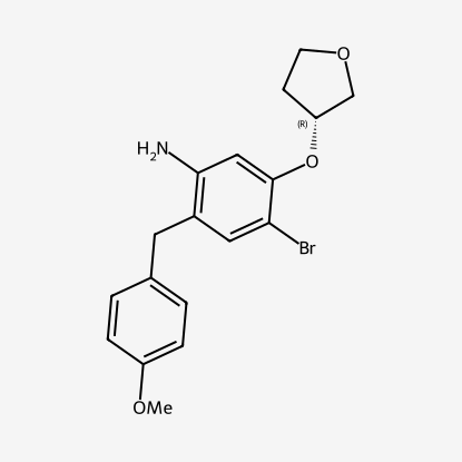 COc1ccc(Cc2cc(Br)c(O[C@@H]3CCOC3)cc2N)cc1